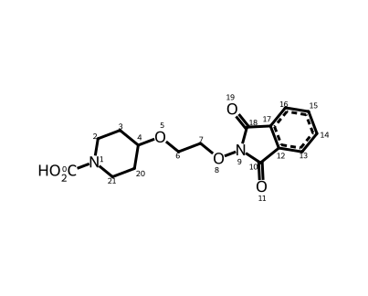 O=C(O)N1CCC(OCCON2C(=O)c3ccccc3C2=O)CC1